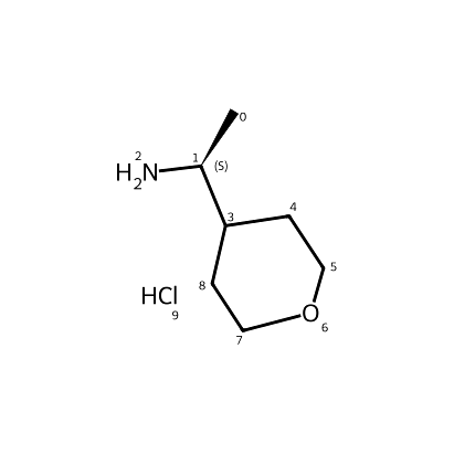 C[C@H](N)C1CCOCC1.Cl